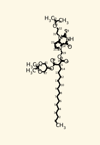 CCCCCCCCCCCCCCCC(C(=O)OCn1ccc2c1c(=O)[nH]c(=S)n2CCOC(C)C)C(=O)OC1COC(C)(C)OC1